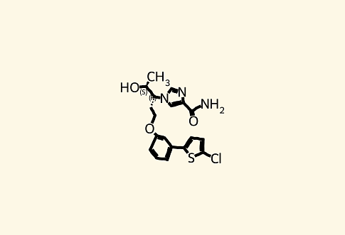 C[C@H](O)[C@@H](CCOc1cccc(-c2ccc(Cl)s2)c1)n1cnc(C(N)=O)c1